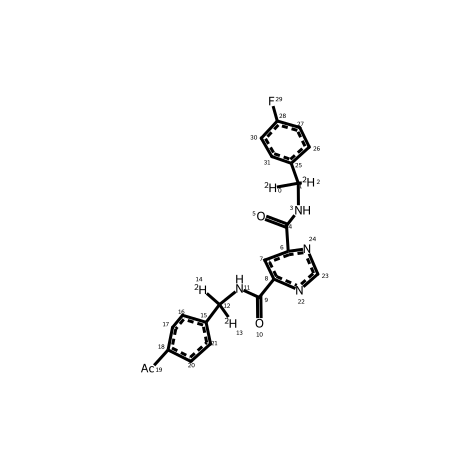 [2H]C([2H])(NC(=O)c1cc(C(=O)NC([2H])([2H])c2ccc(C(C)=O)cc2)ncn1)c1ccc(F)cc1